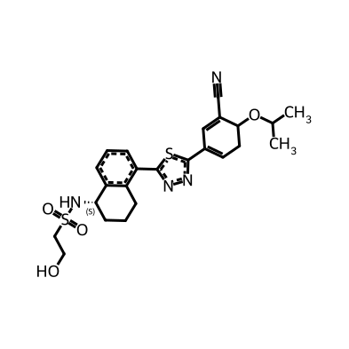 CC(C)OC1CC=C(c2nnc(-c3cccc4c3CCC[C@@H]4NS(=O)(=O)CCO)s2)C=C1C#N